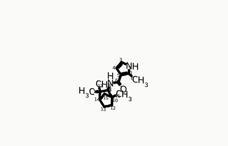 Cc1[nH]ccc1C(=O)NC1C2(C)CCC(C2)C1(C)C